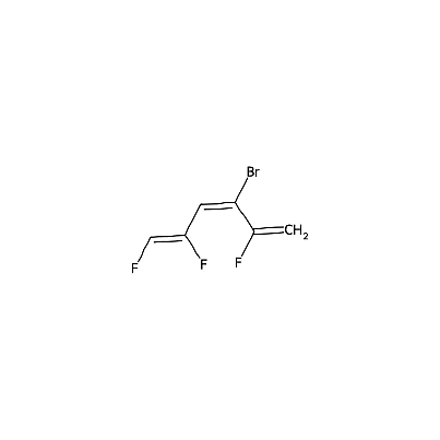 C=C(F)/C(Br)=C\C(F)=C\F